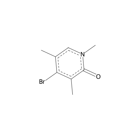 Cc1cn(C)c(=O)c(C)c1Br